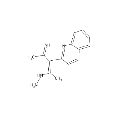 CC(=N)/C(=C(/C)NN)c1ccc2ccccc2n1